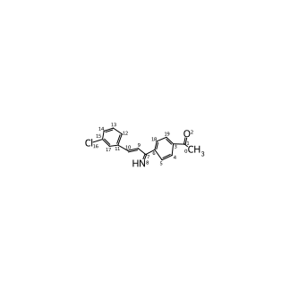 CC(=O)c1ccc(C(=N)/C=C/c2cccc(Cl)c2)cc1